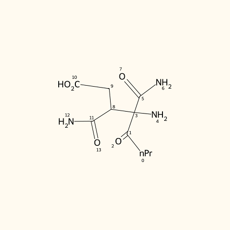 CCCC(=O)C(N)(C(N)=O)C(CC(=O)O)C(N)=O